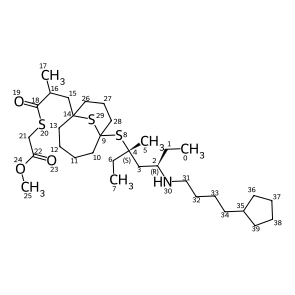 CC[C@H](C[C@](C)(CC)SC12CCCCC(CC(C)C(=O)SCC(=O)OC)(CCC1)S2)NCCCCC1CCCC1